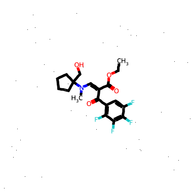 CCOC(=O)C(=CN(C)C1(CO)CCCC1)C(=O)c1cc(F)c(F)c(F)c1F